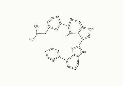 CN(C)Cc1cncc(-c2ncc3[nH]nc(-c4nc5c(-c6ccccn6)nccc5[nH]4)c3c2F)c1